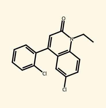 CCn1c(=O)cc(-c2ccccc2Cl)c2cc(Cl)ccc21